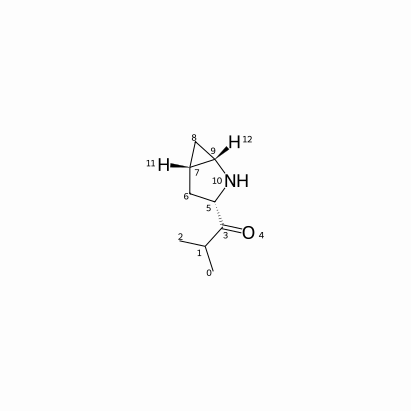 CC(C)C(=O)[C@@H]1C[C@@H]2C[C@@H]2N1